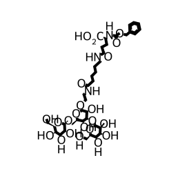 O=C(CCCCCNC(=O)CC[C@H](NC(=O)OCc1ccccc1)C(=O)O)NCCO[C@H]1O[C@H](CO[C@H]2O[C@H](CO)[C@@H](O)[C@H](O)[C@@H]2O)[C@@H](O)[C@H](O[C@H]2O[C@H](CO)[C@@H](O)[C@H](O)[C@@H]2O)[C@@H]1O